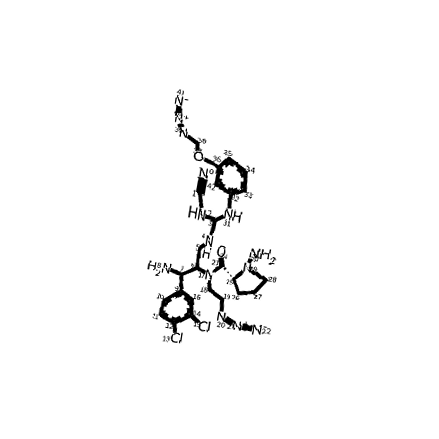 N#CNC(NCC(C(N)c1ccc(Cl)c(Cl)c1)N(CCN=[N+]=[N-])C(=O)[C@H]1CCCN1N)Nc1cccc(OCN=[N+]=[N-])c1